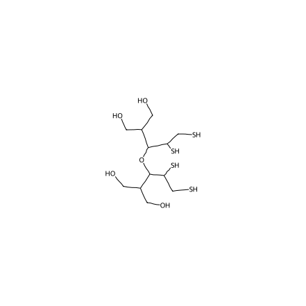 OCC(CO)C(OC(C(S)CS)C(CO)CO)C(S)CS